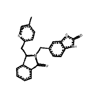 Cc1ccc(CC2c3ccccc3C(=O)N2Cc2ccc3[nH]c(=O)oc3c2)nc1